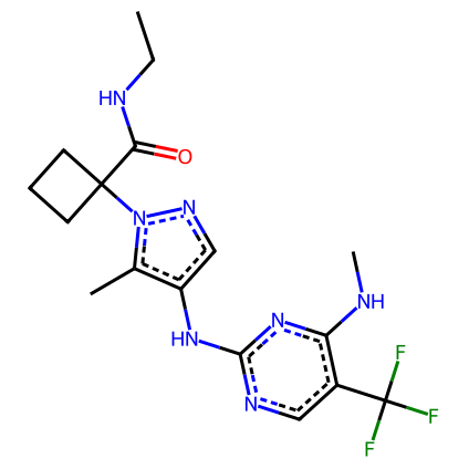 CCNC(=O)C1(n2ncc(Nc3ncc(C(F)(F)F)c(NC)n3)c2C)CCC1